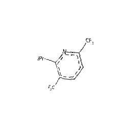 CC(C)c1nc(C(F)(F)F)ccc1C(F)(F)F